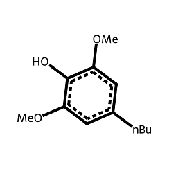 CCCCc1cc(OC)c(O)c(OC)c1